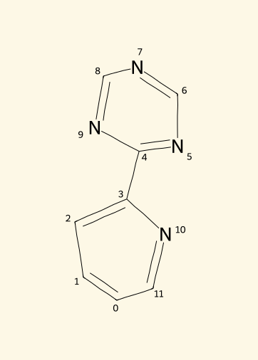 c1ccc(-c2ncncn2)nc1